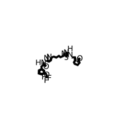 O=C(Cc1cccc(OC(F)(F)F)c1)Nc1ccc(CCCCc2nnc(NCCN3CCCCC3=O)s2)nn1